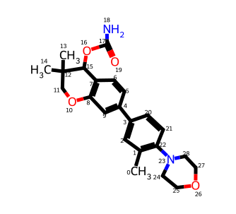 Cc1cc(-c2ccc3c(c2)OCC(C)(C)C3OC(N)=O)ccc1N1CCOCC1